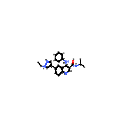 CCn1cc(-c2ccc3ncc(C(=O)NC(C)C)c(Nc4ccccc4)c3c2)cn1